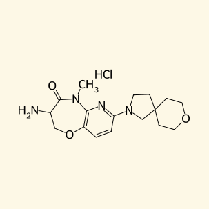 CN1C(=O)C(N)COc2ccc(N3CCC4(CCOCC4)C3)nc21.Cl